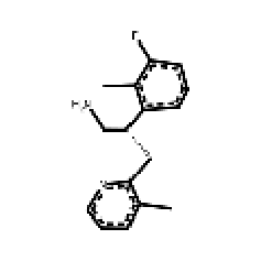 Cc1cccnc1C[C@H](CN)c1cccc(F)c1C